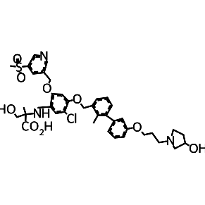 Cc1c(COc2cc(OCc3cncc(S(C)(=O)=O)c3)c(CNC(C)(CO)C(=O)O)cc2Cl)cccc1-c1cccc(OCCCN2CCC(O)C2)c1